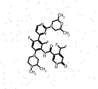 CC1CN(c2nccc(-c3c(F)cc(N4CCN(C)C(C)C4)c(NC(=O)c4c[nH]c(=O)cc4C(F)F)c3F)n2)CC(C)O1